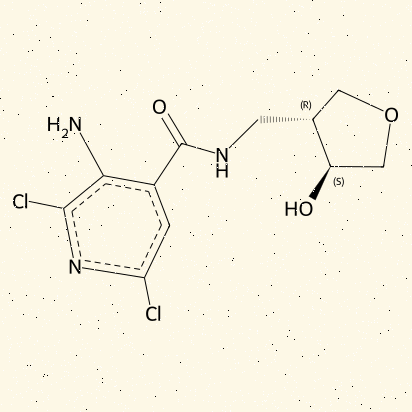 Nc1c(C(=O)NC[C@@H]2COC[C@H]2O)cc(Cl)nc1Cl